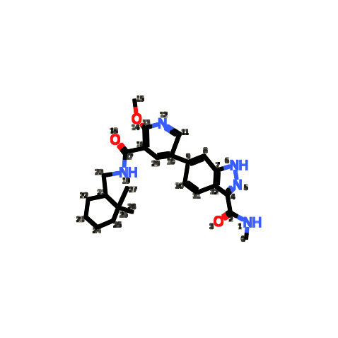 CNC(=O)c1n[nH]c2cc(-c3cnc(OC)c(C(=O)NCC4CCCCC4(C)C)c3)ccc12